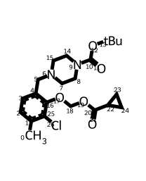 Cc1ccc(CN2CCN(C(=O)OC(C)(C)C)CC2)c(OCOC(=O)C2CC2)c1Cl